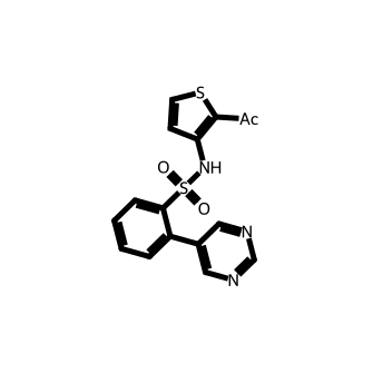 CC(=O)c1sccc1NS(=O)(=O)c1ccccc1-c1cncnc1